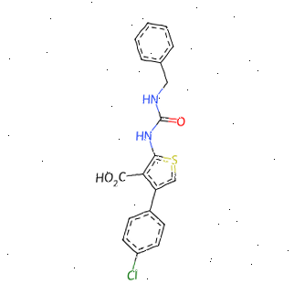 O=C(NCc1ccccc1)Nc1scc(-c2ccc(Cl)cc2)c1C(=O)O